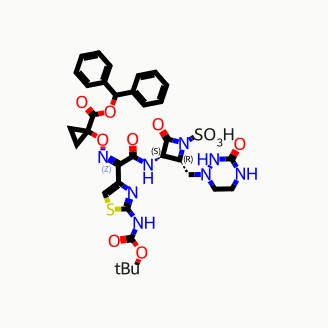 CC(C)(C)OC(=O)Nc1nc(/C(=N/OC2(C(=O)OC(c3ccccc3)c3ccccc3)CC2)C(=O)N[C@@H]2C(=O)N(S(=O)(=O)O)[C@@H]2CN2CCNC(=O)N2)cs1